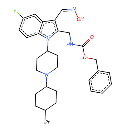 CC(C)C1CCC(N2CCC(n3c(CNC(=O)OCc4ccccc4)c(/C=N\O)c4cc(F)ccc43)CC2)CC1